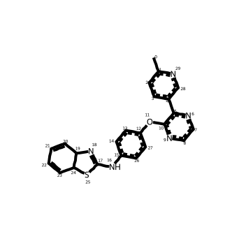 Cc1ccc(-c2nccnc2Oc2ccc(NC3=NC4C=CC=CC4S3)cc2)cn1